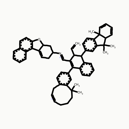 C=CC1C(/C=N/C2CC=C3c4c(ccc5ccccc45)OC3C2)=C(c2ccc3c(c2)C(C)(C)CCC/C=C\C3)c2ccccc2C1c1ccc2c(c1)C(C)(C)C1C=CC=CC21C